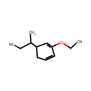 CC(CC#N)C1C=C(OCC#N)C=CC1